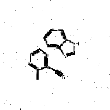 Cc1ccccc1C#N.c1ccc2[nH]cnc2c1